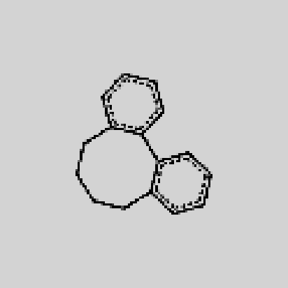 [CH]1CCCc2ccccc2-c2ccccc21